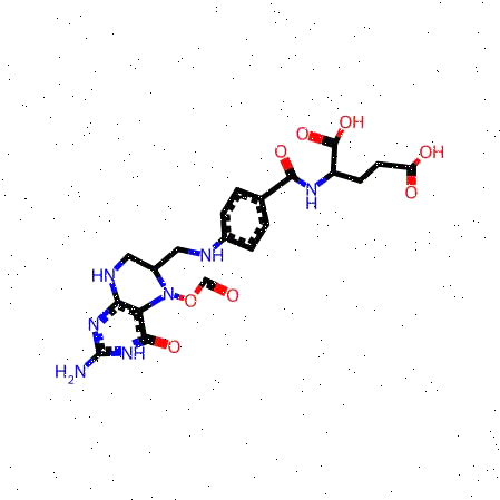 Nc1nc2c(c(=O)[nH]1)N(OC=O)C(CNc1ccc(C(=O)NC(CCC(=O)O)C(=O)O)cc1)CN2